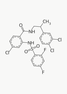 CC(CNC(=O)c1ccc(Cl)cc1NS(=O)(=O)c1ccc(F)cc1F)c1ccc(Cl)c(Cl)c1